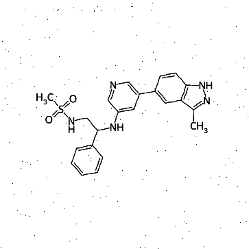 Cc1n[nH]c2ccc(-c3cncc(NC(CNS(C)(=O)=O)c4ccccc4)c3)cc12